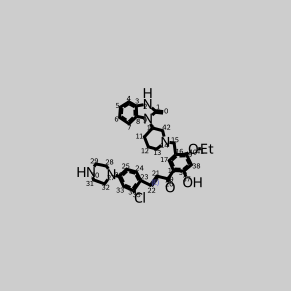 C=C1Nc2ccccc2N1C1CCCN(Cc2cc(C(=O)/C=C/c3ccc(N4CCNCC4)cc3Cl)c(O)cc2OCC)C1